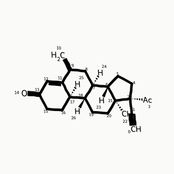 C#C[C@]1(C(C)=O)CC[C@H]2[C@@H]3CC(=C)C4=CC(=O)CC[C@@H]4[C@H]3CC[C@@]21C